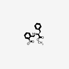 COC(=O)[C@H](Cc1ccccc1)NCc1ccccc1[N+](=O)[O-]